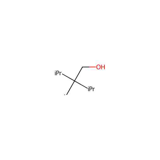 [CH2]C(CO)(C(C)C)C(C)C